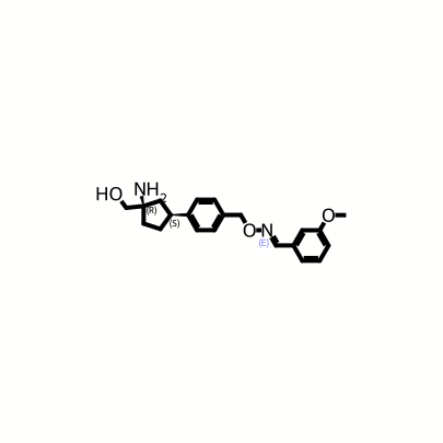 COc1cccc(/C=N/OCc2ccc([C@H]3CC[C@](N)(CO)C3)cc2)c1